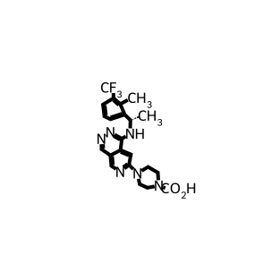 Cc1c([C@H](C)Nc2nncc3cnc(N4CCN(C(=O)O)CC4)cc23)cccc1C(F)(F)F